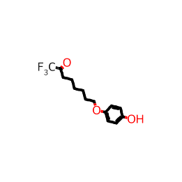 O=C(CCCCCCOc1ccc(O)cc1)C(F)(F)F